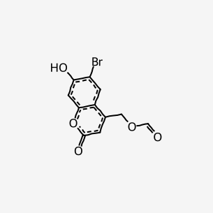 O=COCc1cc(=O)oc2cc(O)c(Br)cc12